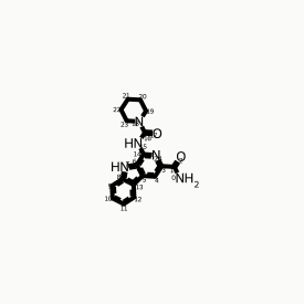 NC(=O)c1cc2c([nH]c3ccccc32)c(NC(=O)N2CCCCC2)n1